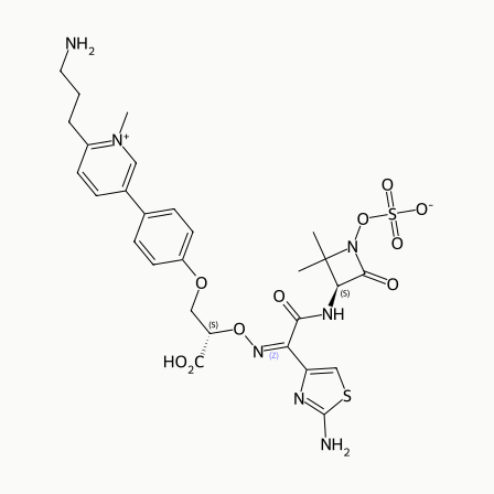 C[n+]1cc(-c2ccc(OC[C@H](O/N=C(\C(=O)N[C@@H]3C(=O)N(OS(=O)(=O)[O-])C3(C)C)c3csc(N)n3)C(=O)O)cc2)ccc1CCCN